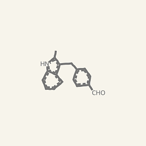 Cc1[nH]c2ccccc2c1Cc1ccc(C=O)cc1